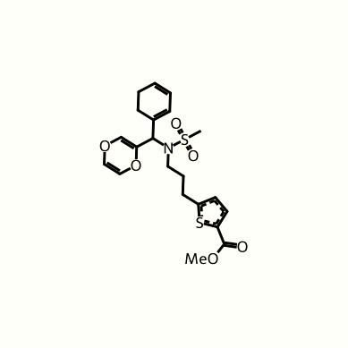 COC(=O)c1ccc(CCCN(C(C2=CC=CCC2)C2=COC=CO2)S(C)(=O)=O)s1